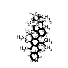 CC(C)c1c(O[SiH3])c(C(C)C)c(-c2cccc3c2ccn3[Si](C(C)C)(C(C)C)C(C)C)c(C(C)C)c1C(=O)c1cccnc1